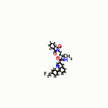 CC(CCN1C(=O)c2ccccc2C1=O)NC(=O)c1cnc2c(-c3ccc(C(F)(F)F)cc3)cccc2c1